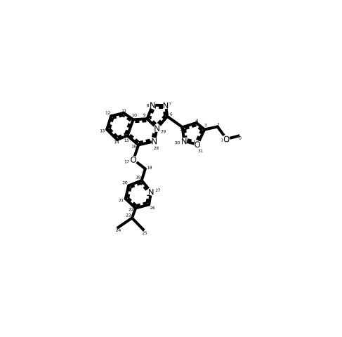 COCc1cc(-c2nnc3c4ccccc4c(OCc4ccc(C(C)C)cn4)nn23)no1